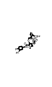 C=C[C@]1([C@H](C)O)COc2c(cn(C)c2C(=O)Nc2ccc(F)c(C#N)c2)S(=O)(=O)N1